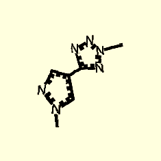 Cn1cc(-c2nnn(C)n2)cn1